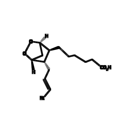 CCC=CC[C@H]1[C@H](CCCCCC(=O)O)[C@H]2C[C@H]1OO2